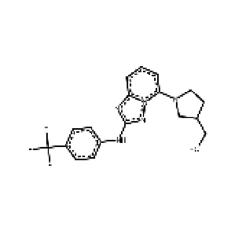 OCC1CCN(c2cccc3nc(Nc4ccc(C(F)(F)F)cc4)nn23)C1